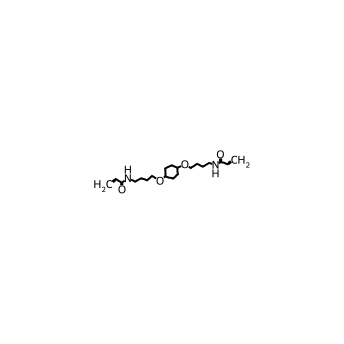 C=CC(=O)NCCCCOC1CCC(OCCCCNC(=O)C=C)CC1